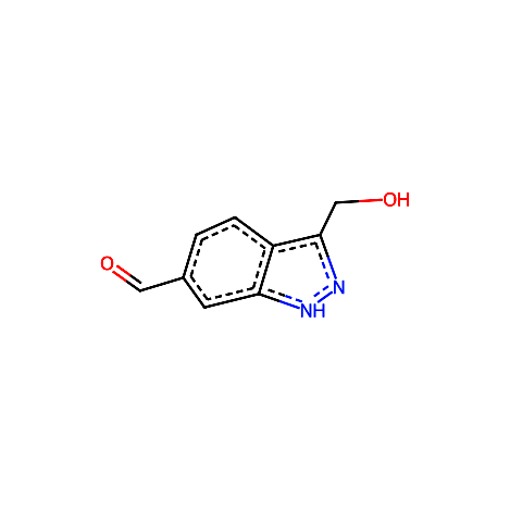 O=Cc1ccc2c(CO)n[nH]c2c1